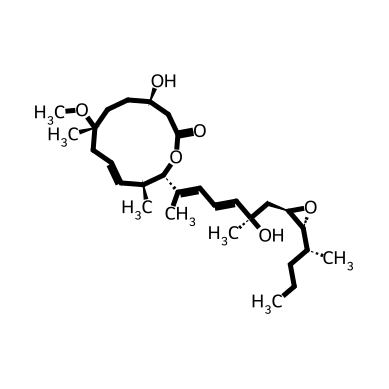 CCC[C@@H](C)[C@H]1O[C@@H]1C[C@@](C)(O)/C=C/C=C(\C)[C@H]1OC(=O)C[C@H](O)CC[C@@](C)(OC)C/C=C/[C@@H]1C